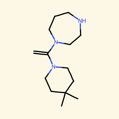 C=C(N1CCCNCC1)N1CCC(C)(C)CC1